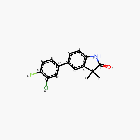 CC1(C)C(=O)Nc2ccc(-c3ccc(F)c(Cl)c3)cc21